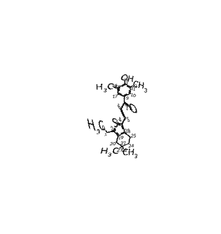 CCc1sc(/C=C/C(=O)c2cc(C)c(O)c(C)c2)c2c1CC(C)(C)CC2